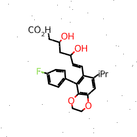 CC(C)c1cc2c(c(-c3ccc(F)cc3)c1/C=C/C(O)CC(O)CC(=O)O)OCCO2